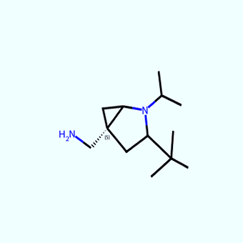 CC(C)N1C(C(C)(C)C)C[C@@]2(CN)CC12